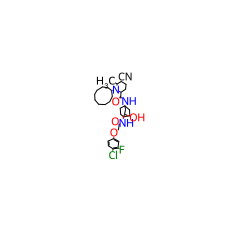 CC1C(C#N)CCC(C(=O)NC23CCC(NC(=O)COc4ccc(Cl)c(F)c4)(CC2)C(O)C3)N1C1CCCCCCCCC1